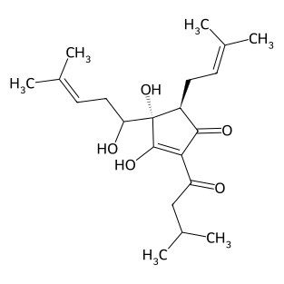 CC(C)=CCC(O)[C@]1(O)C(O)=C(C(=O)CC(C)C)C(=O)[C@@H]1CC=C(C)C